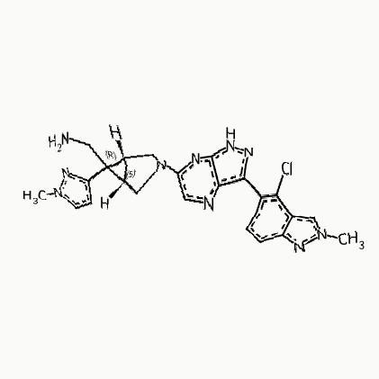 Cn1ccc(C2(CN)[C@@H]3CN(c4cnc5c(-c6ccc7nn(C)cc7c6Cl)n[nH]c5n4)C[C@@H]32)n1